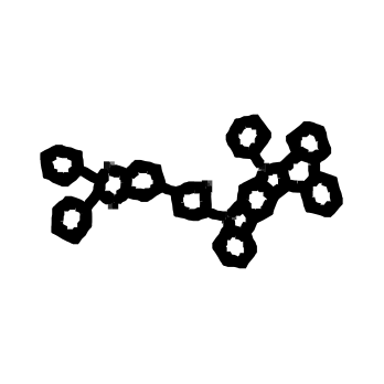 c1ccc(-c2nc3ccc(-c4ccc(-n5c6ccccc6c6cc7c8c9ccccc9c9ccccc9c8n(-c8ccccc8)c7cc65)nc4)cc3nc2-c2ccccc2)cc1